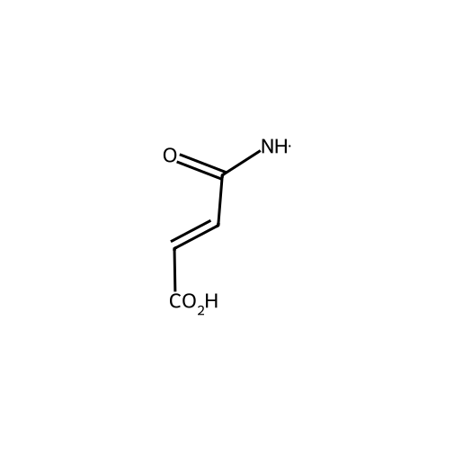 [NH]C(=O)/C=C/C(=O)O